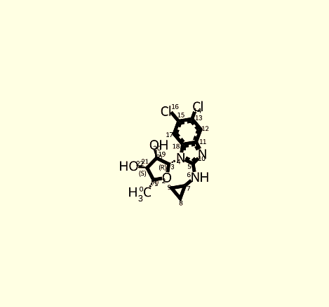 C[C@H]1O[C@@H](n2c(NC3CC3)nc3cc(Cl)c(Cl)cc32)[C@H](O)[C@@H]1O